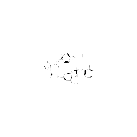 COc1cc(OCC(=O)N2CCC[C@H]2C(F)Oc2ccc(C(=O)O)cc2)cc2oc(Nc3ccccc3C)nc12